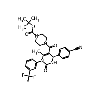 CC1=C(C(=O)N2CCN(C(=O)OC(C)(C)C)CC2)[C@@H](c2ccc(C#N)cc2)NC(=O)N1c1cccc(C(F)(F)F)c1